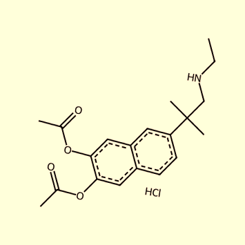 CCNCC(C)(C)c1ccc2cc(OC(C)=O)c(OC(C)=O)cc2c1.Cl